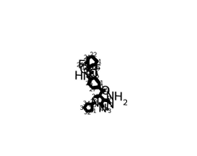 Nc1ncnc2c1c(C(=O)c1ccc(NS(=O)(=O)c3c(F)cccc3F)cc1)cn2C1CCCC1